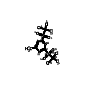 Cc1cc(S(=O)(=O)C(Cl)(Cl)Cl)nc(S(=O)(=O)C(Cl)(Cl)Cl)n1